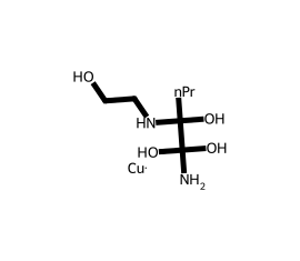 CCCC(O)(NCCO)C(N)(O)O.[Cu]